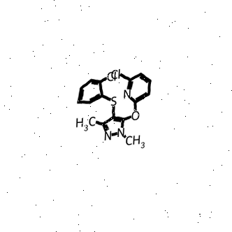 Cc1nn(C)c(Oc2cccc(Cl)n2)c1Sc1ccccc1Cl